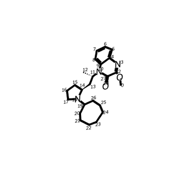 COc1nc2ccccc2n([C@@H](C)C[C@@H]2CCCN2C2CCCCCCC2)c1=O